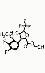 CCOC(=O)C1OC(C(F)(F)F)C(C)C1c1ccc(F)c(F)c1OC